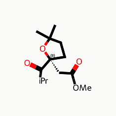 COC(=O)C[C@@]1(C(=O)C(C)C)CCC(C)(C)O1